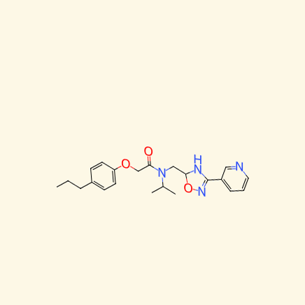 CCCc1ccc(OCC(=O)N(CC2NC(c3cccnc3)=NO2)C(C)C)cc1